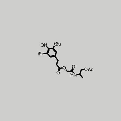 CC(=O)OCC(C)NC(=O)COC(=O)CCc1cc(C(C)C)c(N=O)c(C(C)(C)C)c1